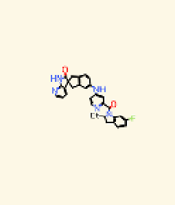 CCC1Cc2ccc(F)cc2N1C(=O)c1cc(Nc2ccc3c(c2)CC2(C3)C(=O)Nc3ncccc32)ccn1